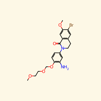 COCCOCOc1ccc(N2CCc3cc(Br)c(OC)cc3C2=O)cc1N